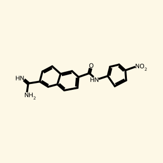 N=C(N)c1ccc2cc(C(=O)Nc3ccc([N+](=O)[O-])cc3)ccc2c1